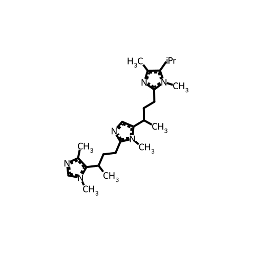 Cc1ncn(C)c1C(C)CCc1ncc(C(C)CCc2nc(C)c(C(C)C)n2C)n1C